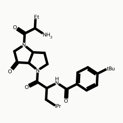 CCC(N)C(=O)N1CC(=O)C2C1CCN2C(=O)C(CC(C)C)NC(=O)c1ccc(C(C)(C)C)cc1